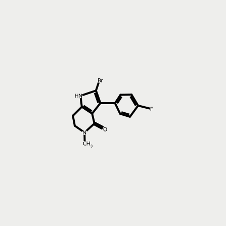 CN1CCc2[nH]c(Br)c(-c3ccc(F)cc3)c2C1=O